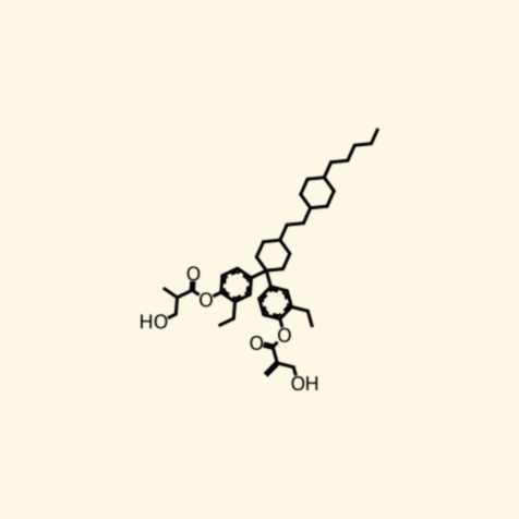 C=C(CO)C(=O)Oc1ccc(C2(c3ccc(OC(=O)C(C)CO)c(CC)c3)CCC(CCC3CCC(CCCCC)CC3)CC2)cc1CC